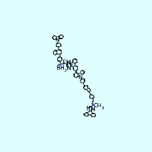 B/C=C(\C=C(/C)c1cnc2c3cc(-c4cccc5c4C4C=CC=CC4N5C4=CCC(c5ccc6cc(-c7ccc(C/C=C(\C)c8cnc9c%10ccccc%10c%10ccccc%10c9n8)cc7)ccc6c5)C=C4)ccc3c3ccccc3c2n1)c1ccc(-c2ccc(-c3ccc(N4c5ccccc5C5C=CC=CC54)cc3)c3ccccc23)cc1